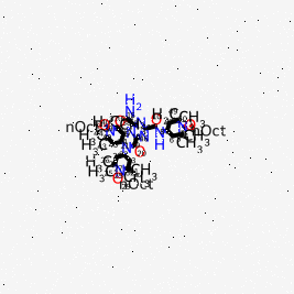 CCCCCCCCON1C(C)(C)CC(NC(=O)c2nc(C(N)=O)nc(C(=O)N(C3CC(C)(C)N(OCCCCCCCC)C(C)(C)C3)C3CC(C)(C)N(OCCCCCCCC)C(C)(C)C3)n2)CC1(C)C